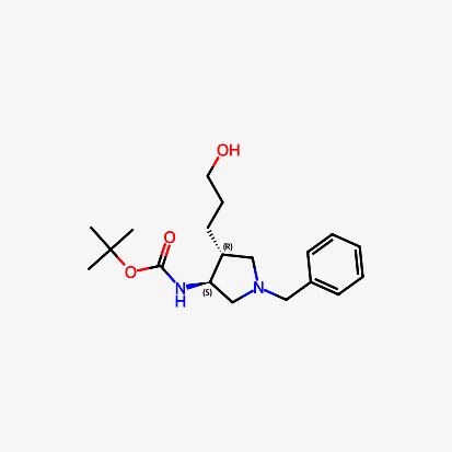 CC(C)(C)OC(=O)N[C@@H]1CN(Cc2ccccc2)C[C@H]1CCCO